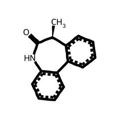 C[C@@H]1C(=O)Nc2ccccc2-c2ccccc21